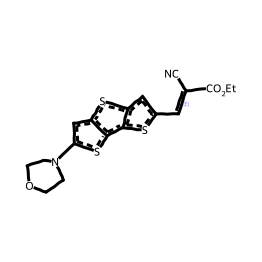 CCOC(=O)/C(C#N)=C/c1cc2sc3cc(N4CCOCC4)sc3c2s1